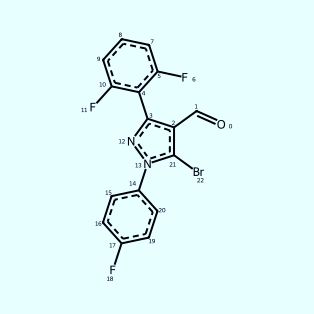 O=Cc1c(-c2c(F)cccc2F)nn(-c2ccc(F)cc2)c1Br